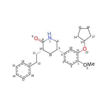 COc1ccc([C@H]2CNC(=O)[C@@H](CCc3ccccc3)C2)cc1OC1CCCC1